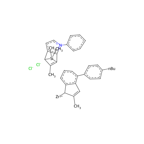 CC1=C2c3c(ccn3-c3ccccc3)C1[Si]2(C)C.CCCCc1ccc(-c2cccc3c2C=C(C)[CH]3[Zr+2])cc1.[Cl-].[Cl-]